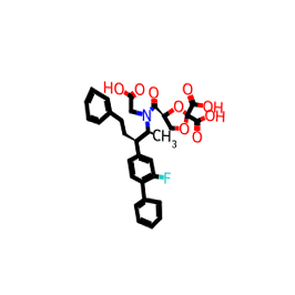 C[C@H]([C@H](CCc1ccccc1)c1ccc(-c2ccccc2)c(F)c1)N(CC(=O)O)C(=O)[C@@H]1COC(C(=O)O)(C(=O)O)O1